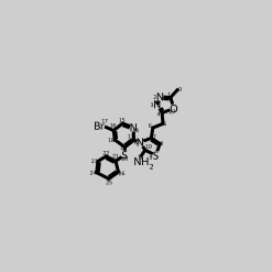 Cc1nnc(CCC2=CSC(N)N2c2ncc(Br)cc2Sc2ccccc2)o1